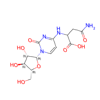 NC(=O)CC(Nc1ccn([C@@H]2O[C@H](CO)[C@@H](O)[C@@H]2O)c(=O)n1)C(=O)O